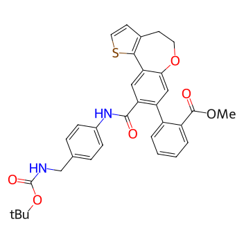 COC(=O)c1ccccc1-c1cc2c(cc1C(=O)Nc1ccc(CNC(=O)OC(C)(C)C)cc1)-c1sccc1CCO2